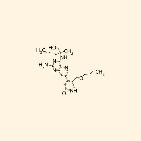 C=CCCOCc1c[nH]c(=O)cc1-c1cnc2c(N[C@@](C)(CO)CCCC)nc(N)nc2c1